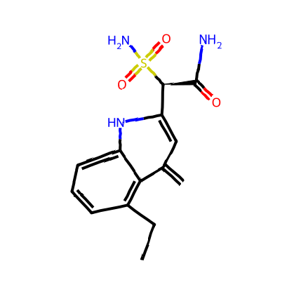 C=C1C=C([C@H](C(N)=O)S(N)(=O)=O)Nc2cccc(CC)c21